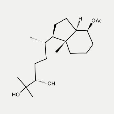 CC(=O)O[C@H]1CCC[C@]2(C)[C@@H]([C@@H](C)CC[C@H](O)C(C)(C)O)CC[C@@H]12